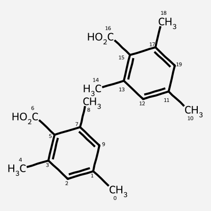 Cc1cc(C)c(C(=O)O)c(C)c1.Cc1cc(C)c(C(=O)O)c(C)c1